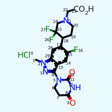 Cl.Cn1nc(N2CCC(=O)NC2=O)c2cc(F)c(C3CCN(CC(=O)O)CC3(F)F)cc21